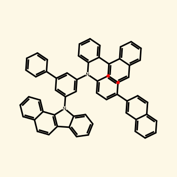 c1ccc(-c2cc(N(c3ccc(-c4ccc5ccccc5c4)cc3)c3ccccc3-c3cccc4ccccc34)cc(-n3c4ccccc4c4ccc5ccccc5c43)c2)cc1